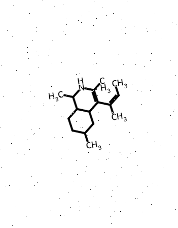 C/C=C(/C)C1=C(C)NC(C)C2CCC(C)CC12